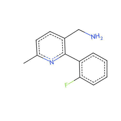 Cc1ccc(CN)c(-c2ccccc2F)n1